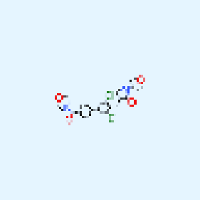 O=C(c1ccc(-c2cc(Cl)c(CC3CCN(C4CCOCC4)C3=O)c(Cl)c2)cc1)N1CCOCC1